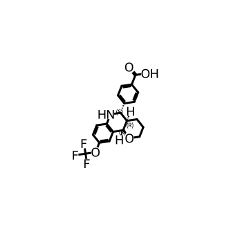 O=C(O)c1ccc([C@H]2Nc3ccc(OC(F)(F)F)cc3[C@@H]3OCCC[C@H]23)cc1